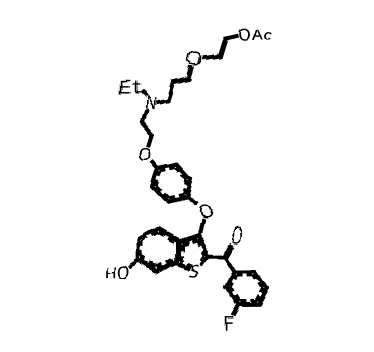 CCN(CCCOCCOC(C)=O)CCOc1ccc(Oc2c(C(=O)c3cccc(F)c3)sc3cc(O)ccc23)cc1